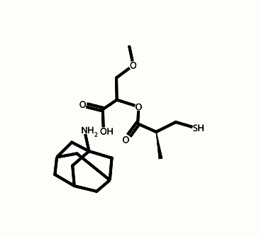 COCC(OC(=O)[C@H](C)CS)C(=O)O.NC12CC3CC(CC(C3)C1)C2